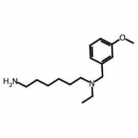 CCN(CCCCCCN)Cc1cccc(OC)c1